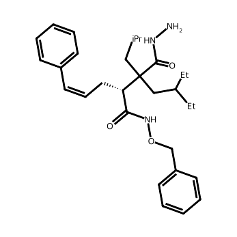 CCC(CC)CC(CC(C)C)(C(=O)NN)[C@@H](C/C=C\c1ccccc1)C(=O)NOCc1ccccc1